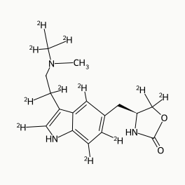 [2H]c1[nH]c2c([2H])c([2H])c(C[C@@H]3NC(=O)OC3([2H])[2H])c([2H])c2c1C([2H])([2H])CN(C)C([2H])([2H])[2H]